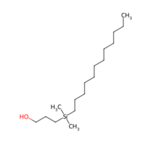 CCCCCCCCCCCC[Si](C)(C)CCCO